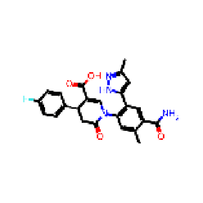 Cc1cc(-c2cc(C(N)=O)c(C)cc2N2C=C(C(=O)O)[C@H](c3ccc(F)cc3)CC2=O)[nH]n1